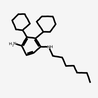 CCCCCCCNc1ccc(N)c(C2CCCCC2)c1C1CCCCC1